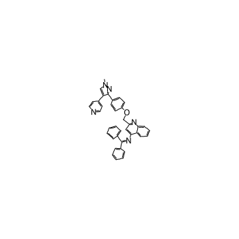 Cn1cc(-c2ccncc2)c(-c2ccc(OCc3cc(N=C(c4ccccc4)c4ccccc4)c4ccccc4n3)cc2)n1